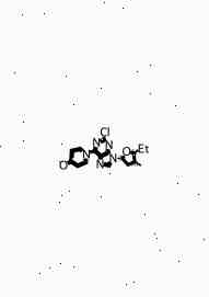 CC[C@@H]1O[C@@H](n2cnc3c(-n4ccc(=O)cc4)nc(Cl)nc32)C[C@@H]1C